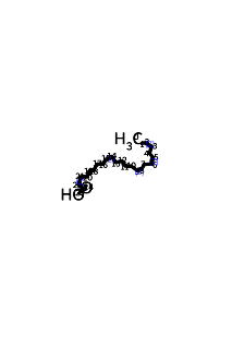 CC/C=C\C/C=C\C/C=C\CCCC/C=C\CCCCC/C=C\C(=O)O